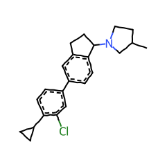 CC1CCN(C2CCc3cc(-c4ccc(C5CC5)c(Cl)c4)ccc32)C1